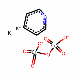 [K+].[K+].[O]=[Cr](=[O])([O-])[O][Cr](=[O])(=[O])[O-].c1ccncc1